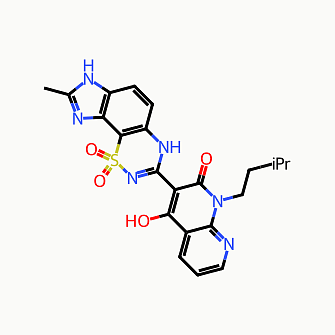 Cc1nc2c3c(ccc2[nH]1)NC(c1c(O)c2cccnc2n(CCC(C)C)c1=O)=NS3(=O)=O